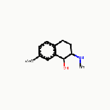 CCCNC1CCc2ccc(OC)cc2C1O